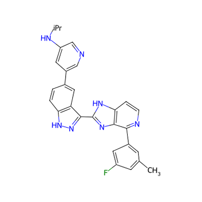 Cc1cc(F)cc(-c2nccc3[nH]c(-c4n[nH]c5ccc(-c6cncc(NC(C)C)c6)cc45)nc23)c1